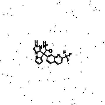 NC(=O)C(c1ccc2ccc(C(F)(F)F)nc2c1)(c1nc[nH]n1)c1cccs1